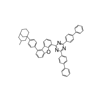 CC1CC2CCCC(c3ccc(-c4cccc5oc6c(-c7nc(-c8ccc(-c9ccccc9)cc8)nc(-c8ccc(-c9ccccc9)cc8)n7)cccc6c45)cc3)(C1)C2